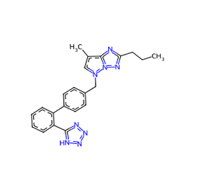 CCCc1nc2c(C)cn(Cc3ccc(-c4ccccc4-c4nnn[nH]4)cc3)n2n1